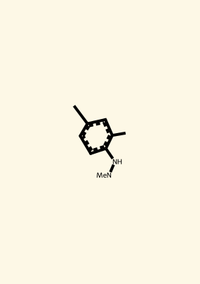 CNNc1ccc(C)cc1C